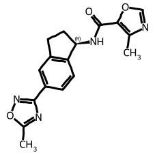 Cc1nc(-c2ccc3c(c2)CC[C@H]3NC(=O)c2ocnc2C)no1